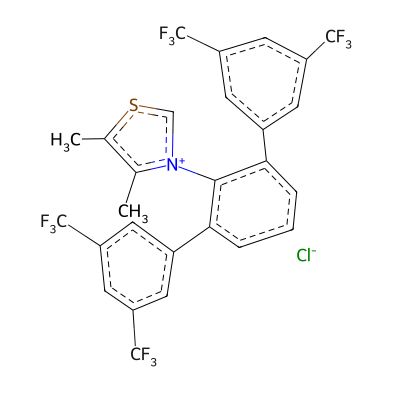 Cc1sc[n+](-c2c(-c3cc(C(F)(F)F)cc(C(F)(F)F)c3)cccc2-c2cc(C(F)(F)F)cc(C(F)(F)F)c2)c1C.[Cl-]